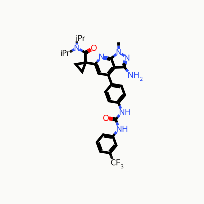 CC(C)N(C(=O)C1(c2cc(-c3ccc(NC(=O)Nc4cccc(C(F)(F)F)c4)cc3)c3c(N)nn(C)c3n2)CC1)C(C)C